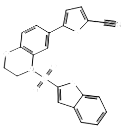 N#Cc1ccc(-c2ccc3c(c2)N(S(=O)(=O)c2cc4ccccc4s2)CCO3)s1